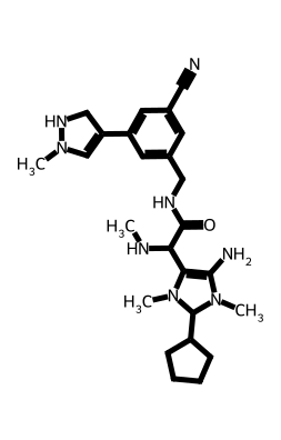 CNC(C(=O)NCc1cc(C#N)cc(C2=CN(C)NC2)c1)C1=C(N)N(C)C(C2CCCC2)N1C